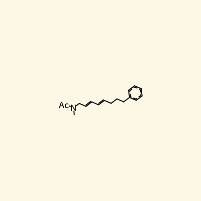 CC(=O)N(C)C/C=C/C=C/CCCc1ccccc1